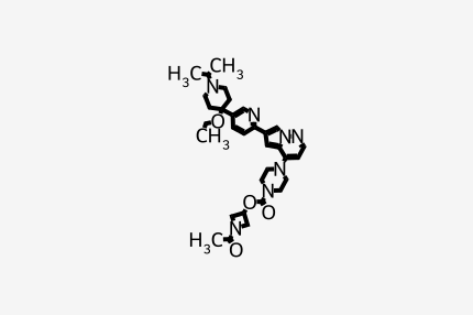 CCOC1(c2ccc(-c3cc4c(N5CCN(C(=O)OC6CN(C(C)=O)C6)CC5)ccnn4c3)nc2)CCN(C(C)C)CC1